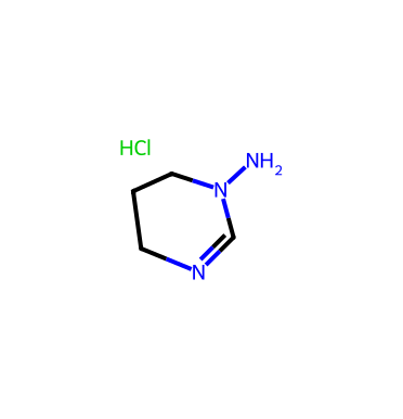 Cl.NN1C=NCCC1